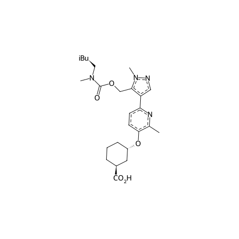 CC[C@H](C)CN(C)C(=O)OCc1c(-c2ccc(O[C@H]3CCC[C@H](C(=O)O)C3)c(C)n2)cnn1C